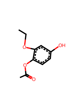 CCOc1cc(O)ccc1OC(C)=O